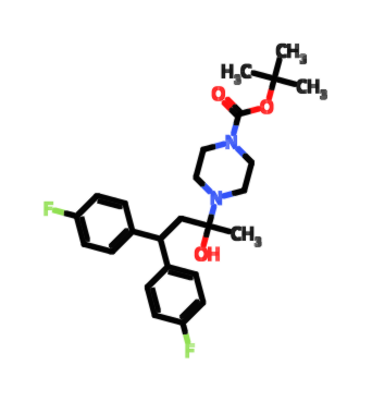 CC(C)(C)OC(=O)N1CCN(C(C)(O)CC(c2ccc(F)cc2)c2ccc(F)cc2)CC1